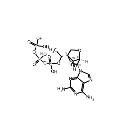 CC(OP(=O)(O)OP(=O)(O)OP(=O)(O)O)[C@@]12CO[C@@H]([C@H](n3cnc4c(N)nc(N)nc43)O1)[C@@H]2O